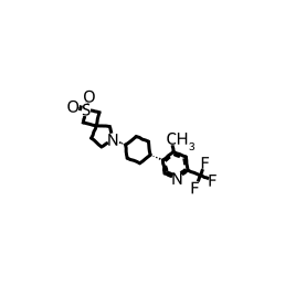 Cc1cc(C(F)(F)F)ncc1[C@H]1CC[C@@H](N2CCC3(C2)CS(=O)(=O)C3)CC1